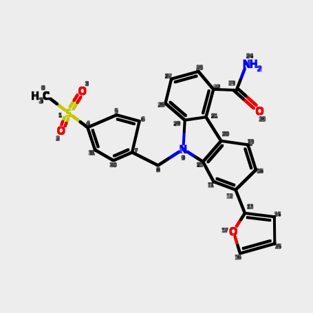 CS(=O)(=O)c1ccc(Cn2c3cc(-c4ccco4)c[c]c3c3c(C(N)=O)cccc32)cc1